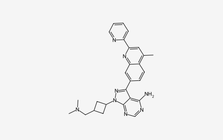 Cc1cc(-c2ccccn2)nc2cc(-c3nn(C4CC(CN(C)C)C4)c4ncnc(N)c34)ccc12